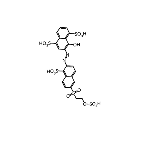 O=S(=O)(O)OCCS(=O)(=O)c1ccc2c(S(=O)(=O)O)c(/N=N/c3cc(S(=O)(=O)O)c4cccc(S(=O)(=O)O)c4c3O)ccc2c1